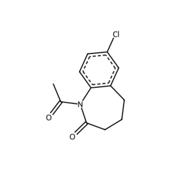 CC(=O)N1C(=O)CCCc2cc(Cl)ccc21